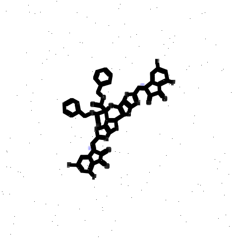 O=C1C(=O)c2c(F)cc(F)cc2/C1=C/c1nc2sc3c(c2s1)OC(C(=O)OCc1ccccc1)(C(=O)OCc1ccccc1)c1c-3sc2nc(/C=C3\C(=O)C(=O)c4c(F)cc(F)cc43)sc12